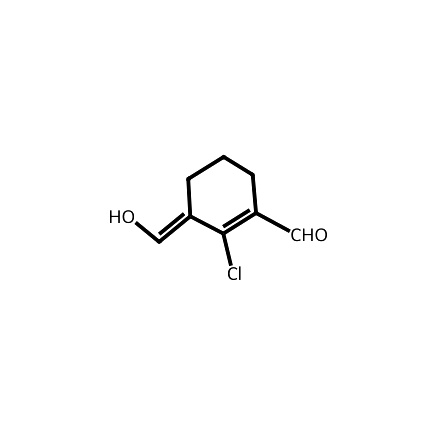 O=CC1=C(Cl)/C(=C/O)CCC1